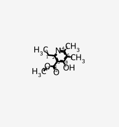 CCc1nc(C)c(C)c(O)c1C(=O)OC